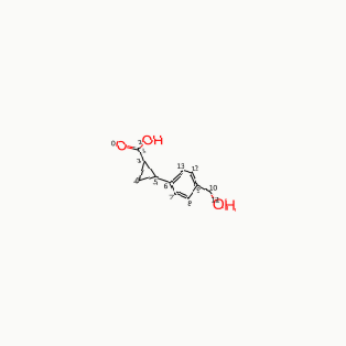 O=C(O)C1CC1c1ccc(CO)cc1